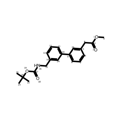 COC(=O)Cc1cccc(-c2cccc(CNC(=O)OC(C)(C)C)c2)c1